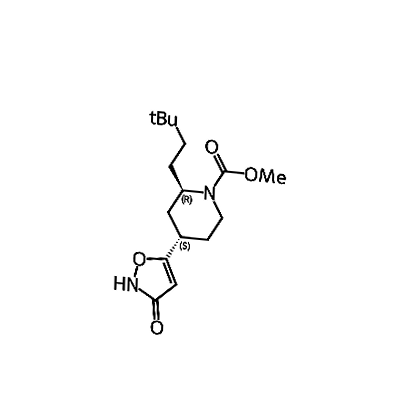 COC(=O)N1CC[C@H](c2cc(=O)[nH]o2)C[C@H]1CCC(C)(C)C